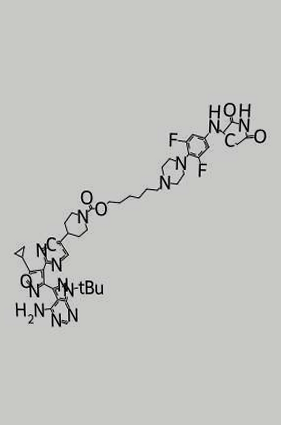 CC(C)(C)n1nc(-c2noc(C3CC3)c2-c2ncc(C3CCN(C(=O)OCCCCCCN4CCN(c5c(F)cc(N[C@@H]6CCC(=O)NC6=O)cc5F)CC4)CC3)cn2)c2c(N)ncnc21